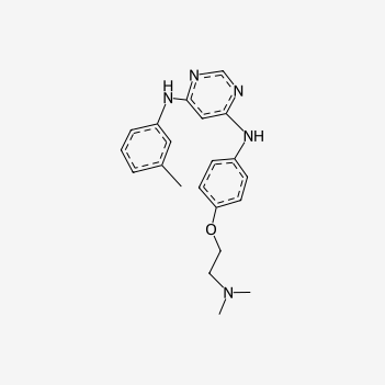 Cc1cccc(Nc2cc(Nc3ccc(OCCN(C)C)cc3)ncn2)c1